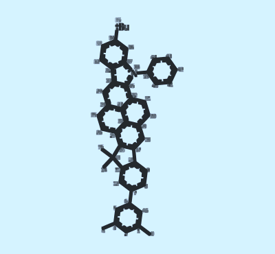 Cc1cc(C)cc(-c2ccc3c(c2)C(C)(C)c2c-3cc3ccc4c5c(ccc2c35)cc2c3ccc(C(C)(C)C)cc3n(-c3ccccc3)c24)c1